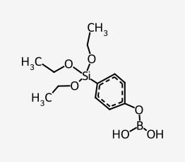 CCO[Si](OCC)(OCC)c1ccc(OB(O)O)cc1